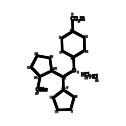 CCOC(=O)C1CCC(OC(N2CCCC2)N2CCCC2OC)CC1.Cl.Cl